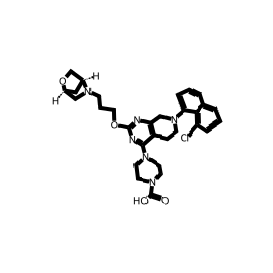 O=C(O)N1CCN(c2nc(OCCCN3C[C@@H]4C[C@H]3CO4)nc3c2CCN(c2cccc4cccc(Cl)c24)C3)CC1